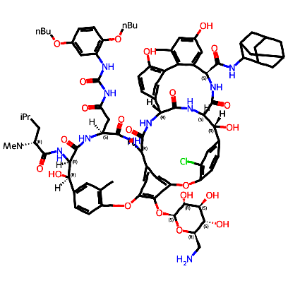 CCCCOc1ccc(OCCCC)c(NC(=O)NC(=O)C[C@@H]2NC(=O)[C@H](NC(=O)[C@@H](CC(C)C)NC)[C@H](O)c3ccc(c(C)c3)Oc3cc4cc(c3O[C@@H]3O[C@H](CN)[C@@H](O)[C@H](O)[C@H]3O)Oc3ccc(cc3Cl)[C@@H](O)[C@@H]3NC(=O)[C@H](NC(=O)[C@@H]4NC2=O)c2ccc(O)c(c2)-c2c(C)cc(O)cc2[C@@H](C(=O)NC2C4CC5CC(C4)CC2C5)NC3=O)c1